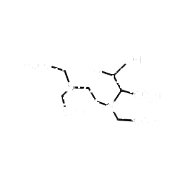 O=C(O)CN(CCN(CC(=O)O)C(C(=O)O)C(O)O)CC(=O)O